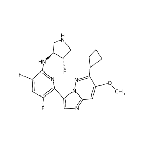 COc1cc2ncc(-c3nc(N[C@H]4CNC[C@@H]4F)c(F)cc3F)n2nc1C1CCC1